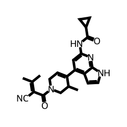 CC(C)=C(C#N)C(=O)N1CC=C(c2cc(NC(=O)C3CC3)nc3[nH]ccc23)C(C)C1